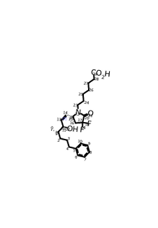 C[C@@H](CCCc1ccccc1)[C@H](O)/C=C\[C@H]1CC(F)(F)C(=O)N1CCCCCCC(=O)O